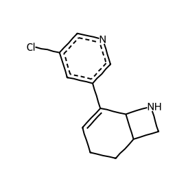 Clc1cncc(C2=CCCC3CNC23)c1